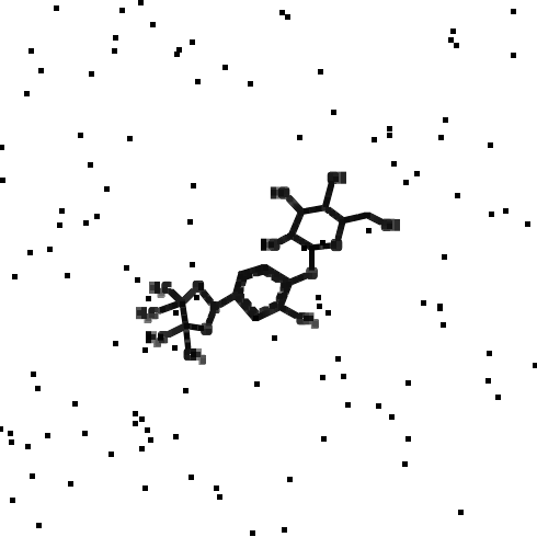 Cc1cc(B2OC(C)(C)C(C)(C)O2)ccc1OC1OC(CO)C(O)C(O)C1O